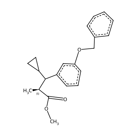 COC(=O)[C@@H](C)C(c1cccc(OCc2ccccc2)c1)C1CC1